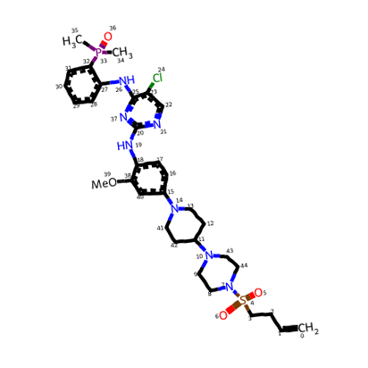 C=CCCS(=O)(=O)N1CCN(C2CCN(c3ccc(Nc4ncc(Cl)c(Nc5ccccc5P(C)(C)=O)n4)c(OC)c3)CC2)CC1